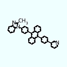 Cc1nc2ccccc2n1-c1ccc(-c2c3ccccc3c(-c3ccc(-c4cccnc4)cc3)c3ccccc23)cc1